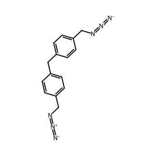 [N-]=[N+]=NCc1ccc(Cc2ccc(CN=[N+]=[N-])cc2)cc1